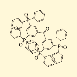 O=C(c1cc(P(=O)(c2ccccc2)c2ccccc2)cc(P(=O)(c2ccccc2)C2C=CC=CC2)c1)c1cc(P(=O)(c2ccccc2)c2ccccc2)cc(P(=O)(c2ccccc2)C2C=CC=CC2)c1